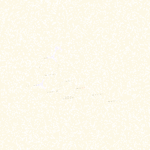 CCCCOc1ccc(CN(C)C2CCN(N)CC2)cc1